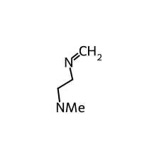 C=NCCNC